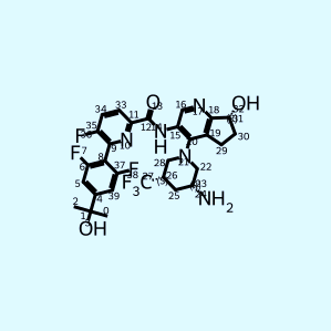 CC(C)(O)c1cc(F)c(-c2nc(C(=O)Nc3cnc4c(c3N3C[C@H](N)C[C@H](C(F)(F)F)C3)CC[C@H]4O)ccc2F)c(F)c1